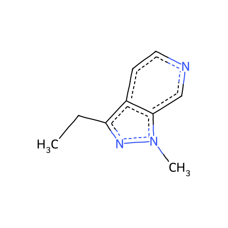 CCc1nn(C)c2cnccc12